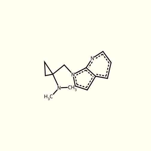 CN(C)C1(Cn2ccc3cccnc32)CC1